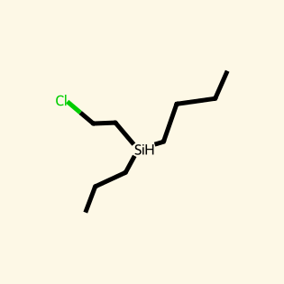 CCCC[SiH](CCC)CCCl